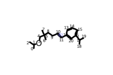 CC(C)OCC(C)(C)CC/C=C/c1cccc(C(C)C)c1